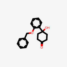 O=C1CCC(O)(c2ccccc2OCc2ccccc2)CC1